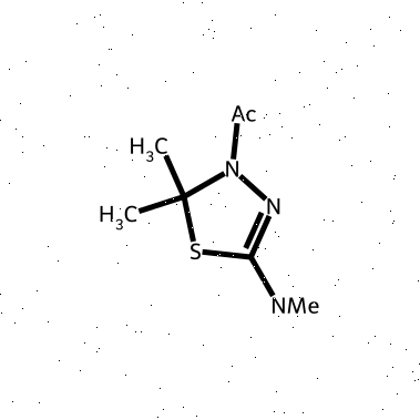 CNC1=NN(C(C)=O)C(C)(C)S1